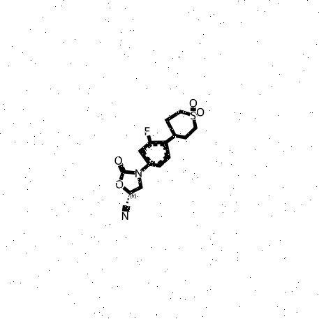 N#C[C@H]1CN(c2ccc(C3CCS(=O)(=O)CC3)c(F)c2)C(=O)O1